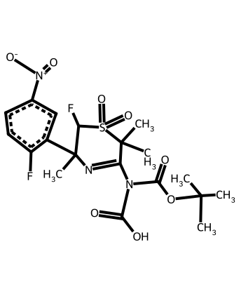 CC(C)(C)OC(=O)N(C(=O)O)C1=NC(C)(c2cc([N+](=O)[O-])ccc2F)C(F)S(=O)(=O)C1(C)C